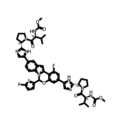 COC(=O)N[C@H](C(=O)N1CCC[C@H]1c1ncc(-c2cc(F)c3c(c2)OC(c2ccc(F)s2)n2c-3cc3cc(-c4cnc([C@@H]5CCCN5C(=O)[C@@H](NC(=O)OC)C(C)C)[nH]4)ccc32)[nH]1)C(C)C